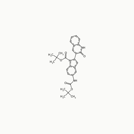 CC(C)(C)OC(=O)Nc1ccc2c(c1)cc(-c1cc3ccccc3[nH]c1=O)n2C(=O)OC(C)(C)C